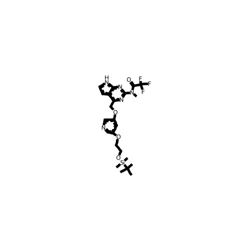 CN(C(=O)C(F)(F)F)c1nc(COc2cncc(OCCO[Si](C)(C)C(C)(C)C)c2)c2cc[nH]c2n1